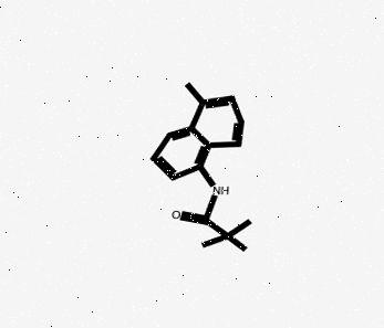 Cc1cccc2c(NC(=O)C(C)(C)C)cccc12